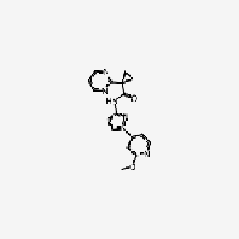 COc1cc(-n2ccc(NC(=O)C3(c4ncccn4)CC3)n2)ccn1